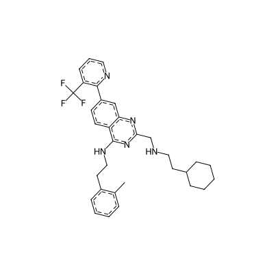 Cc1ccccc1CCNc1nc(CNCCC2CCCCC2)nc2cc(-c3ncccc3C(F)(F)F)ccc12